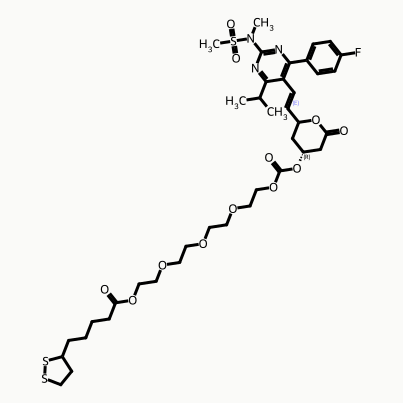 CC(C)c1nc(N(C)S(C)(=O)=O)nc(-c2ccc(F)cc2)c1/C=C/C1C[C@@H](OC(=O)OCCOCCOCCOCCOC(=O)CCCCC2CCSS2)CC(=O)O1